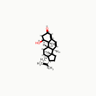 C=C(C)[C@H]1CC[C@H]2[C@@H]3C=CC4=CC(=O)CC(O)[C@]4(C)[C@H]3CC[C@]12C